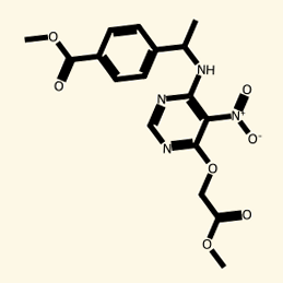 COC(=O)COc1ncnc(NC(C)c2ccc(C(=O)OC)cc2)c1[N+](=O)[O-]